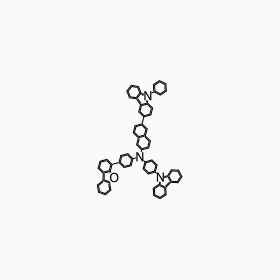 c1ccc(-n2c3ccccc3c3cc(-c4ccc5cc(N(c6ccc(-c7cccc8c7oc7ccccc78)cc6)c6ccc(-n7c8ccccc8c8ccccc87)cc6)ccc5c4)ccc32)cc1